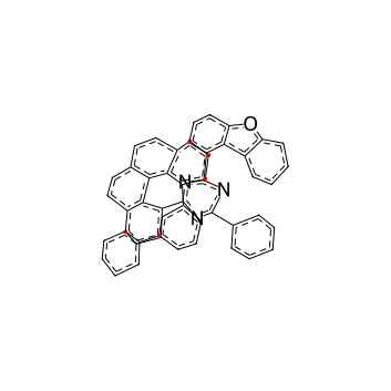 c1ccc(-c2cccc(-c3cccc4ccc5ccc6cccc(-c7nc(-c8ccccc8)nc(-c8cccc9oc%10ccccc%10c89)n7)c6c5c34)c2)cc1